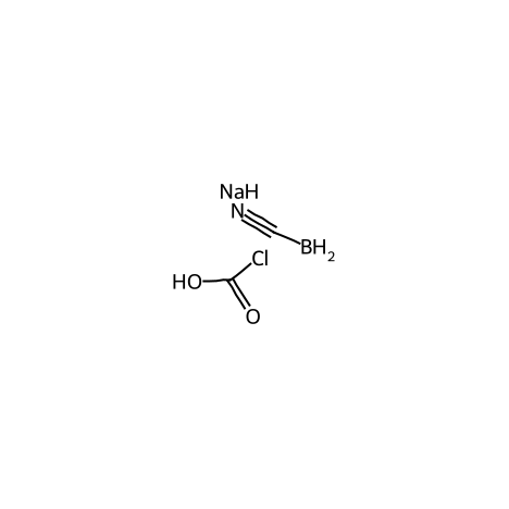 BC#N.O=C(O)Cl.[NaH]